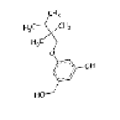 CC(C)C(C)(C)COc1cc(O)cc(CO)c1